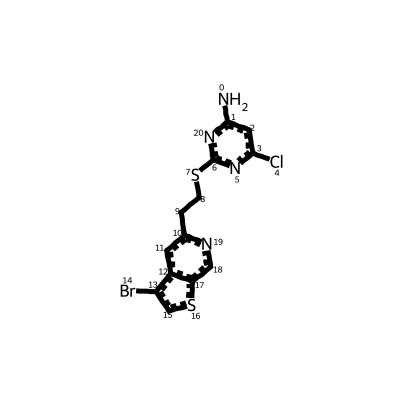 Nc1cc(Cl)nc(SCCc2cc3c(Br)csc3cn2)n1